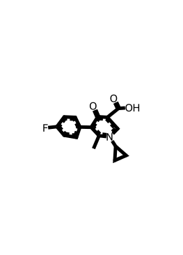 Cc1c(-c2ccc(F)cc2)c(=O)c(C(=O)O)cn1C1CC1